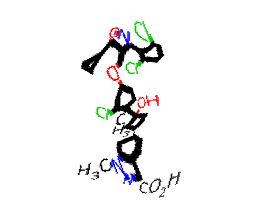 Cn1nc(C(=O)O)c2ccc([C@H]3C[C@@](O)(C4(C)CC=C(OCc5c(-c6c(Cl)cccc6Cl)noc5C5CC5)C=C4Cl)C3)cc21